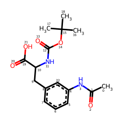 CC(=O)Nc1cccc(CC(NC(=O)OC(C)(C)C)C(=O)O)c1